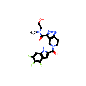 CN(CCO)C(=O)c1n[nH]c2c1CN(C(=O)c1cc3c(F)c(F)c(F)cc3[nH]1)CC2